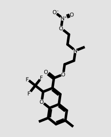 Cc1cc(C)c2c(c1)C=C(C(=O)OCCN(C)CCO[N+](=O)[O-])C(C(F)(F)F)O2